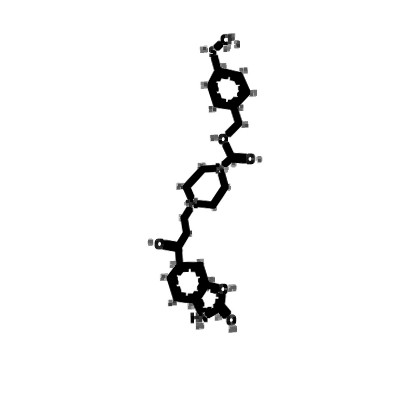 O=C(CCN1CCN(C(=O)OCc2ccc(SC(F)(F)F)cc2)CC1)c1ccc2[nH]c(=O)oc2c1